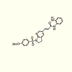 COc1ccc(S(=O)(=O)N2CCc3cc(C=CC(=O)Nc4ccccc4N)cnc32)cc1